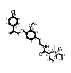 C=C(COc1ccc(CCNC(=O)[C@H](CC)NS(=O)(=O)CC)cc1OC)c1ccc(Cl)cc1